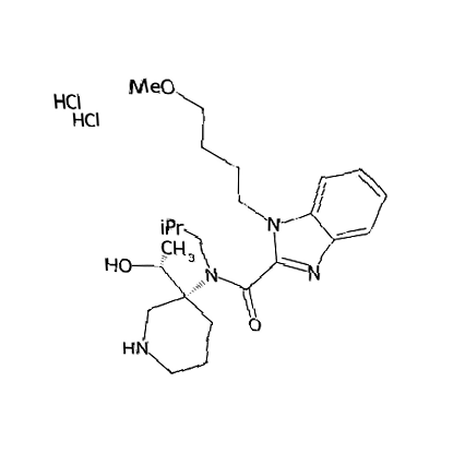 COCCCCn1c(C(=O)N(CC(C)C)[C@]2([C@@H](C)O)CCCNC2)nc2ccccc21.Cl.Cl